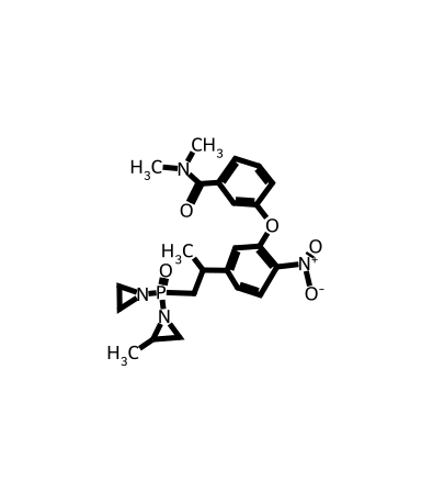 CC(CP(=O)(N1CC1)N1CC1C)c1ccc([N+](=O)[O-])c(Oc2cccc(C(=O)N(C)C)c2)c1